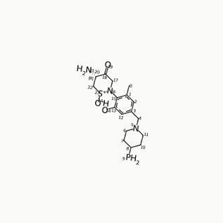 Cc1cc(CN2CCC(P)CC2)cc(O)c1N1CC(=O)[C@@H](N)C[S+]1[O-]